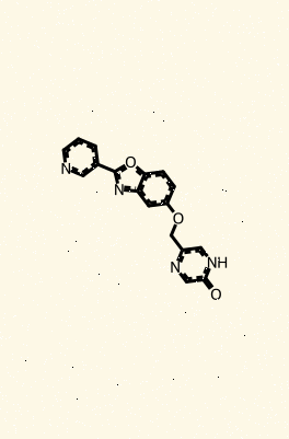 O=c1cnc(COc2ccc3oc(-c4cccnc4)nc3c2)c[nH]1